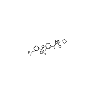 C/C(=C\C(=O)NC1CCC1)c1ccc2c(c1)CC(c1cccc(C(F)(F)F)c1)(C(F)(F)F)O2